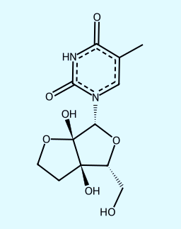 Cc1cn([C@@H]2O[C@H](CO)[C@]3(O)CCO[C@]23O)c(=O)[nH]c1=O